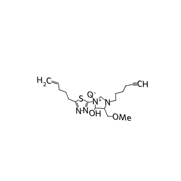 C#CCCCCN1C[N+]([O-])(c2nnc(CCCC=C)s2)C(O)C1COC